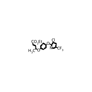 CCOC(=O)/C=C/C(C)Oc1ccc(Oc2ncc(C(F)(F)F)cc2Cl)cc1